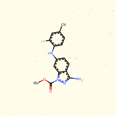 CC(C)(C)OC(=O)n1nc(N)c2ccc(Nc3ccc(C#N)cc3F)cc21